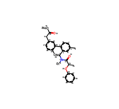 CCN(Cc1cc(C)ccc1-c1cc(CC(=O)OC)ccc1OC)C(=O)C(C)Oc1ccccc1